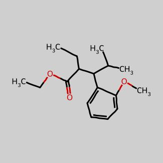 CCOC(=O)C(CC)C(c1ccccc1OC)C(C)C